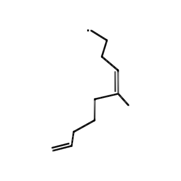 [CH2]CCC=C(C)CCCC=C